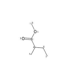 [CH]OC(=O)C(C)CC